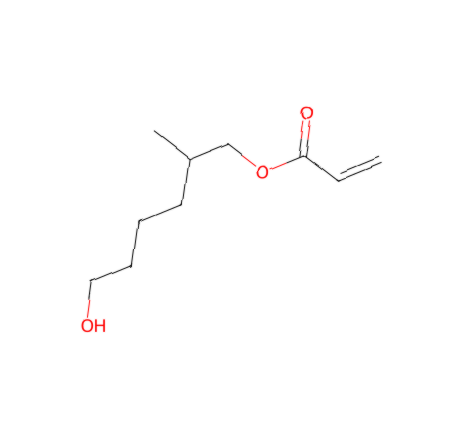 C=CC(=O)OCC(C)CCCCO